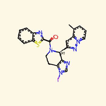 Cc1cccn2nc([C@H]3c4ncn(I)c4CCN3C(=O)c3nc4ccccc4s3)cc12